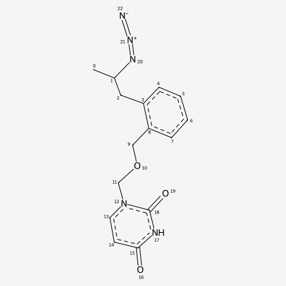 CC(Cc1ccccc1COCn1ccc(=O)[nH]c1=O)N=[N+]=[N-]